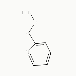 NOCc1ccccn1